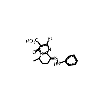 CCc1nc2n(c(=O)c1C(=O)O)C(C)CCC2=NNc1ccccc1